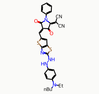 CCCCN(CC)c1ccc(NNc2nc3sc(/C=C4\C(=O)C(=C(C#N)C#N)N(c5ccccc5)C4=O)cc3s2)cc1